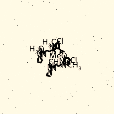 COc1cc(Cl)c(C)n2nc(CCc3nc(N4CCCC4)nn3C)nc12.Cc1c(Cl)cc(C2CC2)c2nc(CCc3nc(N4CCCC4)nn3C)nn12